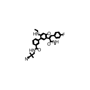 CCNc1cc2oc(-c3ccc(F)cc3)c(C(=O)NC)c2cc1-c1cccc(C(=O)NCC(C)(C)C#N)c1